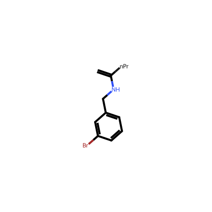 C=C(CCC)NCc1cccc(Br)c1